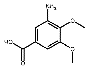 COc1cc(C(=O)O)cc(N)c1OC